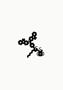 CCCCCCc1cc(-c2scc3c2OCCO3)sc1-c1ccc(N(c2ccc3c(c2)C(C)(C)c2ccccc2-3)c2ccc3c(c2)C(C)(C)c2ccccc2-3)cc1